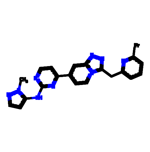 CC(C)c1cccc(Cc2nnc3cc(-c4ccnc(Nc5ccnn5C)n4)ccn23)n1